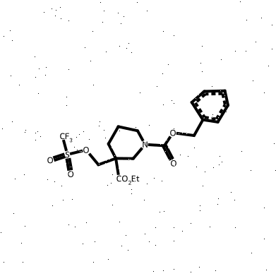 CCOC(=O)C1(COS(=O)(=O)C(F)(F)F)CCCN(C(=O)OCc2ccccc2)C1